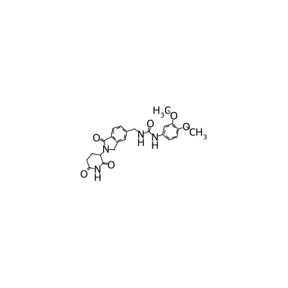 COc1ccc(NC(=O)NCc2ccc3c(c2)CN(C2CCC(=O)NC2=O)C3=O)cc1OC